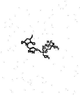 CCC(C)(CCn1cc(CN2C(=O)CC(I)C2=O)nn1)OCCC(C)(C)SC